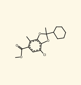 COC(=O)c1cc(Cl)c2c(c1C)OC(C)(C1CCCCC1)O2